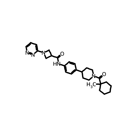 CC1(C(=O)N2CCC(c3ccc(NC(=O)C4CN(c5cccnn5)C4)cc3)CC2)CCCCC1